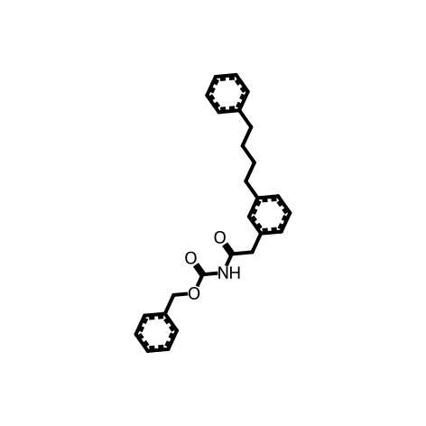 O=C(Cc1cccc(CCCCc2ccccc2)c1)NC(=O)OCc1ccccc1